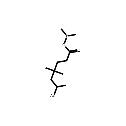 CC(=O)C(C)CC(C)(C)CCC(=O)OP(C)C